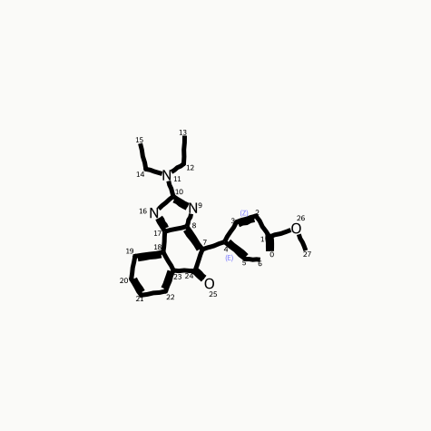 C=C(/C=C\C(=C/C)C1=C2N=C(N(CC)CC)N=C2c2ccccc2C1=O)OC